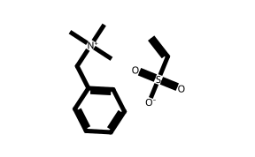 C=CS(=O)(=O)[O-].C[N+](C)(C)Cc1ccccc1